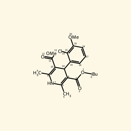 CCC(C)OC(=O)C1=C(C)NC(C)=C(C(=O)OC)C1c1cccc(OC)c1Cl